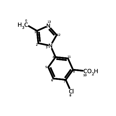 Cc1cn(-c2ccc(Cl)c(C(=O)O)c2)cn1